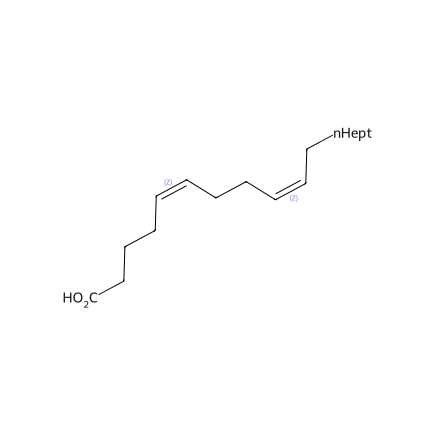 CCCCCCCC/C=C\CC/C=C\CCCC(=O)O